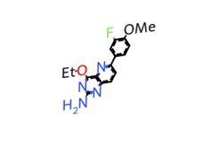 CCOc1nc(N)nc2ccc(-c3ccc(OC)c(F)c3)nc12